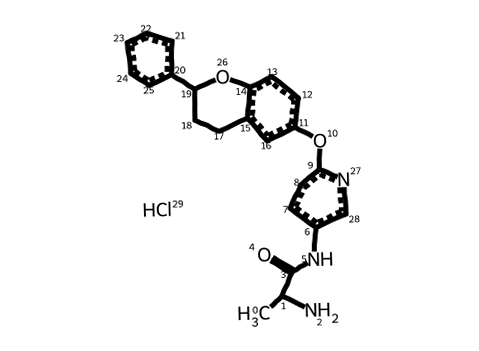 CC(N)C(=O)Nc1ccc(Oc2ccc3c(c2)CCC(c2ccccc2)O3)nc1.Cl